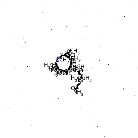 COc1cc2cc(c1Cl)N(C)C(=O)C[C@H](OC(=O)[C@H](C)NC(=O)CCC(C)(C)SSCCCC(N)=O)[C@]1(C)O[C@H]1[C@H](C)[C@@H]1C[C@@](O)(NC(=O)O1)[C@H](OC)/C=C/C=C(\C)C2